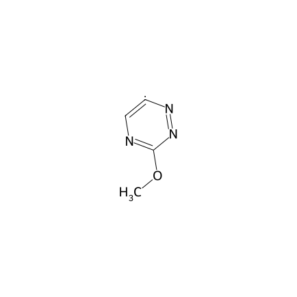 COc1nc[c]nn1